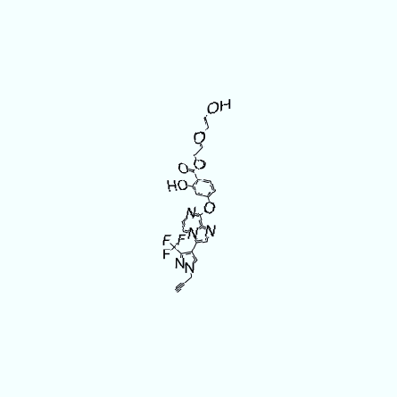 C#CCn1cc(-c2cnc3c(Oc4ccc(C(=O)OCCOCCO)c(O)c4)nccn23)c(C(F)(F)F)n1